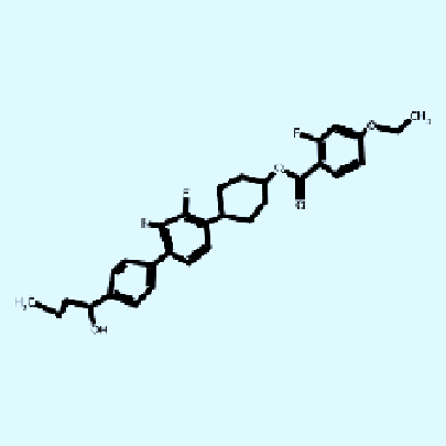 CCCC(O)c1ccc(-c2ccc(C3CCC(OC(=O)c4ccc(OCC)cc4F)CC3)c(F)c2F)cc1